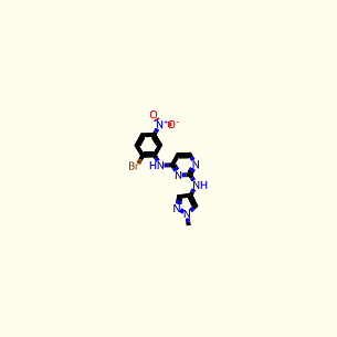 Cn1cc(Nc2nccc(Nc3cc([N+](=O)[O-])ccc3Br)n2)cn1